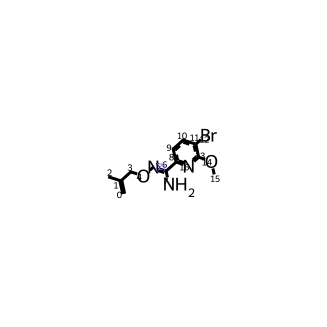 C=C(C)CO/N=C(\N)c1ccc(Br)c(OC)n1